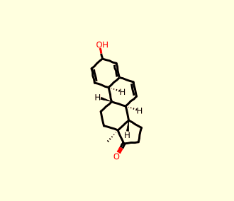 C[C@]12CC[C@H]3[C@@H](C=CC4=CC(O)C=C[C@@H]43)[C@@H]1CCC2=O